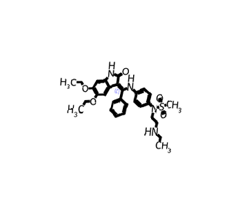 CCNCCN(c1ccc(N/C(=C2\C(=O)Nc3cc(OCC)c(OCC)cc32)c2ccccc2)cc1)S(C)(=O)=O